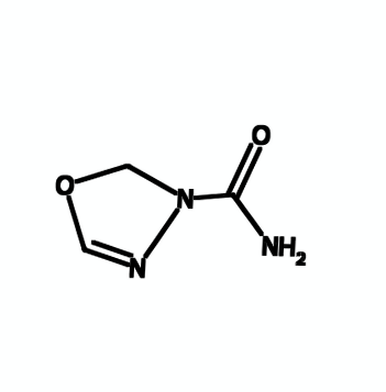 NC(=O)N1COC=N1